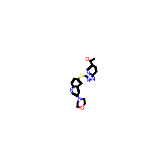 CC(=O)c1ccc2nnc(Sc3ccc4ncc(N5CCOCC5)cc4c3)n2c1